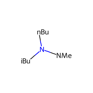 [CH2]NN(CCCC)C(C)CC